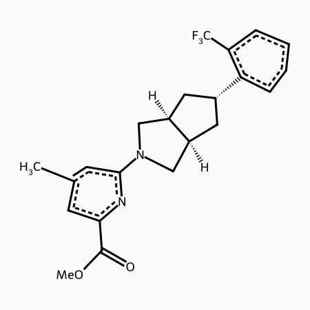 COC(=O)c1cc(C)cc(N2C[C@H]3C[C@H](c4ccccc4C(F)(F)F)C[C@H]3C2)n1